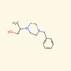 CC(CO)N1CCN(Cc2ccccc2)CC1